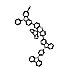 N#Cc1ccc2c(c1)c1cc(-c3ccc4c(c3)C3(c5cc(-c6ccc7c(c6)c6ccccc6n7-c6ccc(-n7c8ccccc8c8ccccc87)cc6)ccc5S4)c4cccnc4-c4ncccc43)ccc1n2-c1ccccc1